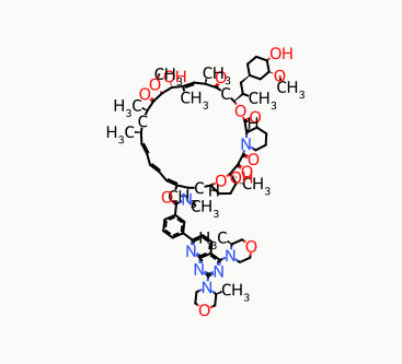 CO[C@@H]1C[C@@H](CC(C)[C@@H]2CC(=O)[C@H](C)/C=C(\C)[C@@H](O)[C@@H](OC)C(=O)[C@H](C)C[C@H](C)/C=C/C=C/C=C(/C)[C@H](N(C)C(=O)c3cccc(-c4ccc5c(N6CCOC[C@@H]6C)nc(N6CCOC[C@@H]6C)nc5n4)c3)C[C@@H]3CC[C@@H](C)[C@@](O)(O3)C(=O)C(=O)N3CCCC[C@H]3C(=O)O2)CC[C@H]1O